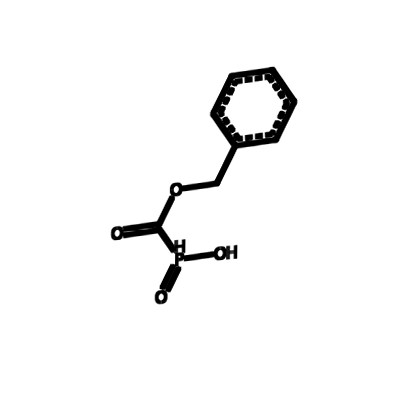 O=C(OCc1ccccc1)[PH](=O)O